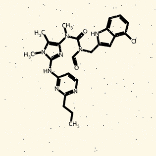 CCCc1nccc(Nc2nc(N(C)C(=O)N(C=O)Cc3cc4c(Cl)cccc4[nH]3)c(C)n2C)n1